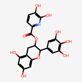 O=C(OC1Cc2c(O)cc(O)cc2OC1c1cc(O)c(O)c(O)c1)c1ccc(O)c(O)n1